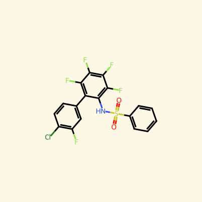 O=S(=O)(Nc1c(F)c(F)c(F)c(F)c1-c1ccc(Cl)c(F)c1)c1ccccc1